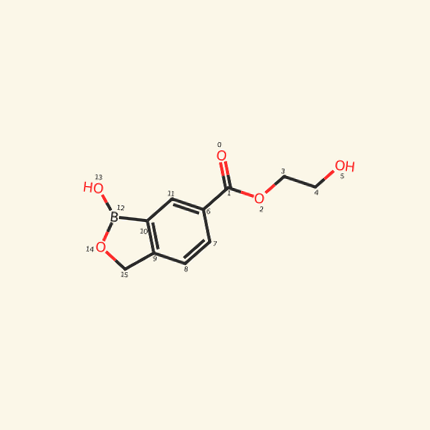 O=C(OCCO)c1ccc2c(c1)B(O)OC2